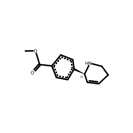 COC(=O)c1ccc([C@@H]2C=CCCN2)cc1